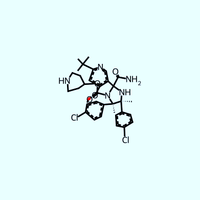 CCOc1cc(C(C)(C)C)ncc1C1(C(N)=O)N[C@@](C)(c2ccc(Cl)cc2)[C@@](C)(c2ccc(Cl)cc2)N1C(=O)OC1CCNCC1